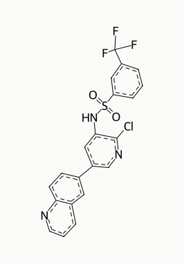 O=S(=O)(Nc1cc(-c2ccc3ncccc3c2)cnc1Cl)c1cccc(C(F)(F)F)c1